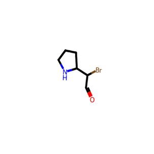 O=CC(Br)C1CCCN1